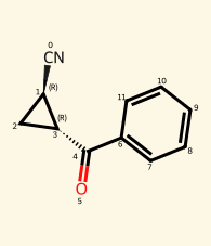 N#C[C@@H]1C[C@H]1C(=O)c1ccccc1